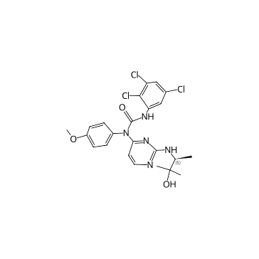 COc1ccc(N(C(=O)Nc2cc(Cl)cc(Cl)c2Cl)c2ccnc(N[C@@H](C)C(C)(C)O)n2)cc1